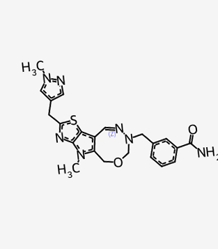 Cn1cc(Cc2nc3c(s2)c2c(n3C)COCN(Cc3cccc(C(N)=O)c3)/N=C\2)cn1